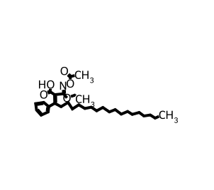 CCCCCCCCCCCCCCCCCCC(=C(C(=O)O)C(=NOC(C)=O)OCC)c1ccccc1